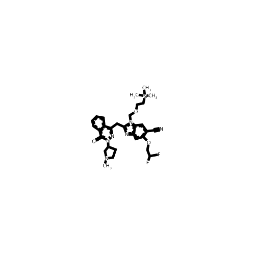 CN1CCC(n2nc(Cc3nc4cc(OCC(F)F)c(C#N)cc4n3COCC[Si](C)(C)C)c3ccccc3c2=O)C1